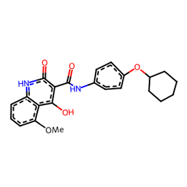 COc1cccc2[nH]c(=O)c(C(=O)Nc3ccc(OC4CCCCC4)cc3)c(O)c12